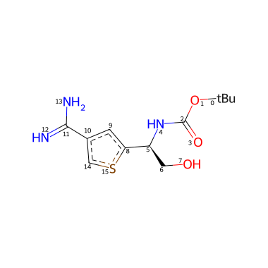 CC(C)(C)OC(=O)N[C@@H](CO)c1cc(C(=N)N)cs1